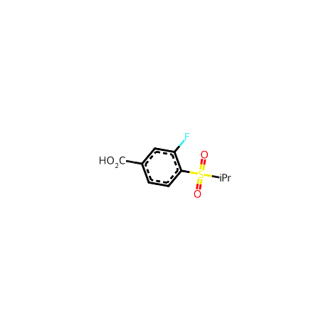 CC(C)S(=O)(=O)c1ccc(C(=O)O)cc1F